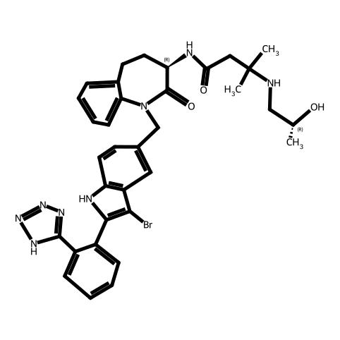 C[C@@H](O)CNC(C)(C)CC(=O)N[C@@H]1CCc2ccccc2N(Cc2ccc3[nH]c(-c4ccccc4-c4nnn[nH]4)c(Br)c3c2)C1=O